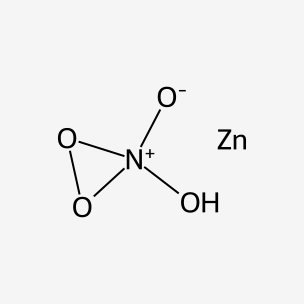 [O-][N+]1(O)OO1.[Zn]